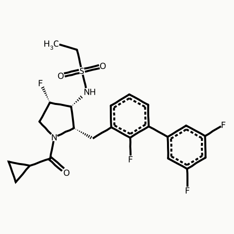 CCS(=O)(=O)N[C@H]1[C@@H](F)CN(C(=O)C2CC2)[C@H]1Cc1cccc(-c2cc(F)cc(F)c2)c1F